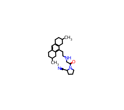 CC1CCc2cc3c(c(CCNCC(=O)N4CCCC4C#N)c2C1)CC(C)CC3